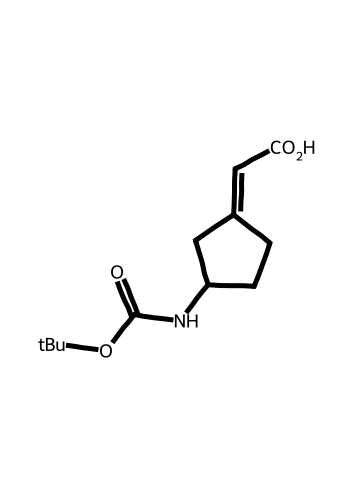 CC(C)(C)OC(=O)NC1CC/C(=C\C(=O)O)C1